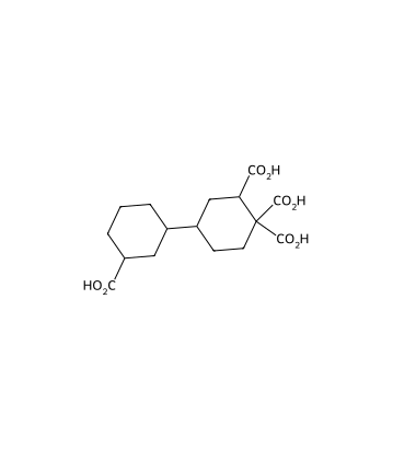 O=C(O)C1CCCC(C2CCC(C(=O)O)(C(=O)O)C(C(=O)O)C2)C1